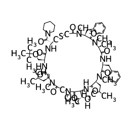 CC(C)C[C@H]1C(=O)N[C@@H](COC(C)(C)C)C(=O)N[C@H](C(=O)N2CCCCC2)CSCC(=O)N(C)[C@@H](Cc2ccccc2)C(=O)N(C)[C@@H](C)C(=O)N[C@@H](Cc2ccccc2)C(=O)N(C)[C@@H](CC(C)C)C(=O)N[C@@H]([C@@H](C)O)C(=O)N(C)CC(=O)N1C